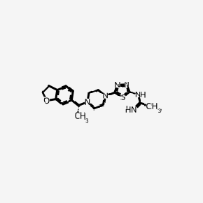 CC(=N)Nc1nnc(N2CCN([C@H](C)c3ccc4c(c3)OCC4)CC2)s1